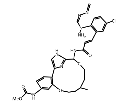 C=N/N=C\N(N)c1ccc(Cl)cc1/C=C/C(=O)N[C@H]1CCCC(C)CCOc2cc(NC(=O)OC)ccc2-c2c[nH]c1n2